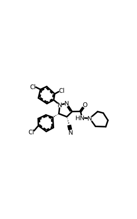 N#C[C@H]1C(C(=O)NN2CCCCC2)=NN(c2ccc(Cl)cc2Cl)[C@H]1c1ccc(Cl)cc1